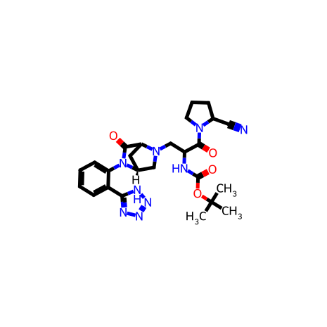 CC(C)(C)OC(=O)NC(CN1C[C@@H]2CC1C(=O)N2c1ccccc1-c1nnn[nH]1)C(=O)N1CCCC1C#N